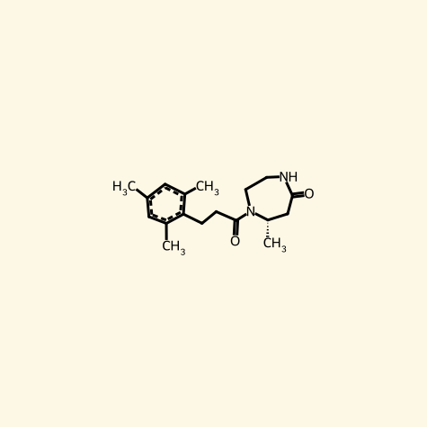 Cc1cc(C)c(CCC(=O)N2CCNC(=O)C[C@@H]2C)c(C)c1